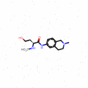 CN1CCc2cc(NC(=O)[C@H](CCO)NC(=O)O)ccc2C1